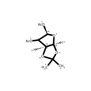 CC(=O)OC1[C@@H](OC(C)=O)O[C@H]2OC(C)(C)O[C@@H]12